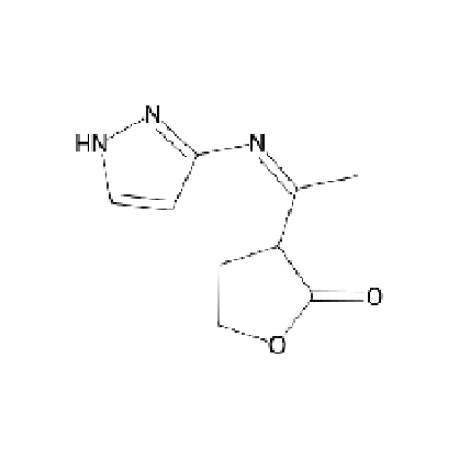 CC(=Nc1cc[nH]n1)C1CCOC1=O